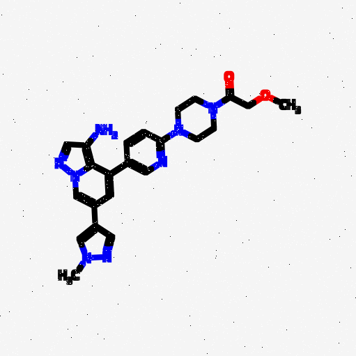 COCC(=O)N1CCN(c2ccc(-c3cc(-c4cnn(C)c4)cn4ncc(N)c34)cn2)CC1